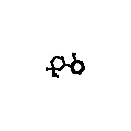 CC1(I)CCOC(c2ccccc2Br)C1